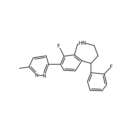 Cc1ccc(-c2ccc3c(c2F)CNCCC3c2ccccc2F)nn1